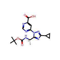 C[C@H](NC(=O)OC(C)(C)C)c1nc(C2CC2)nn1-c1cc(C(=O)O)ncn1